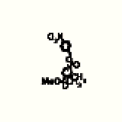 COC(=O)C1CCN(C(=O)OCc2ccc([N+](=O)[O-])cc2)CC1(C)C